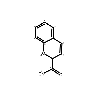 O=NC(=O)C1C=Cc2ccccc2O1